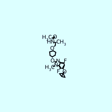 CC(=O)N[C@@H](C)CO[C@H]1CC[C@H](Oc2nc3c(F)cc(OC45CC4C5)c(F)c3n2C)CC1